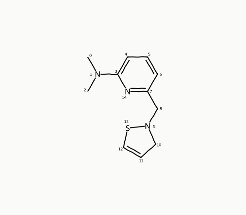 CN(C)c1cccc(CN2CC=CS2)n1